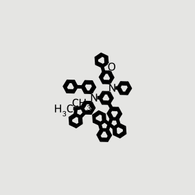 CC1(C)c2ccccc2-c2ccc(N(c3cccc(-c4ccccc4)c3)c3cc(-c4ccc5c(c4)C4(c6ccccc6-c6ccccc64)c4ccccc4-5)cc(N(c4ccccc4)c4ccc5c(c4)oc4ccccc45)c3)cc21